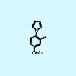 COc1ccc(-n2cccc2)c(C)c1